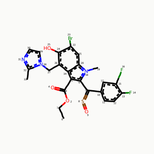 CCOC(=O)c1c(C(=S=O)c2ccc(F)c(F)c2)n(C)c2cc(Br)c(O)c(Cn3ccnc3C)c12